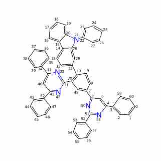 c1ccc(-c2cc(-c3ccc(-c4ccc5c6ccccc6n(-c6ccccc6)c5c4)c(-c4nc(-c5ccccc5)cc(-c5ccccc5)n4)c3)nc(-c3ccccc3)n2)cc1